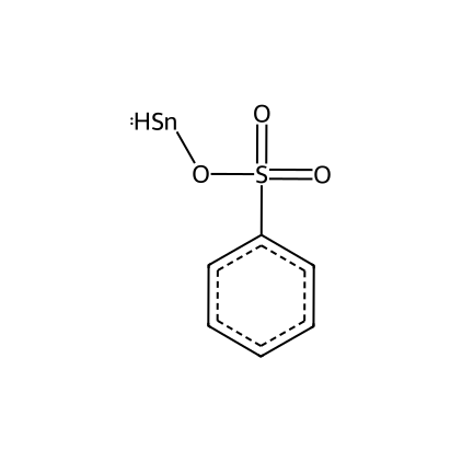 O=S(=O)([O][SnH])c1ccccc1